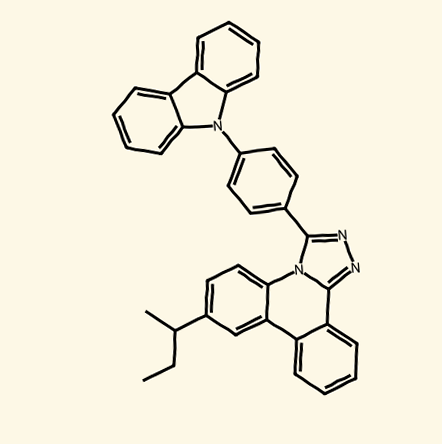 CCC(C)c1ccc2c(c1)c1ccccc1c1nnc(-c3ccc(-n4c5ccccc5c5ccccc54)cc3)n21